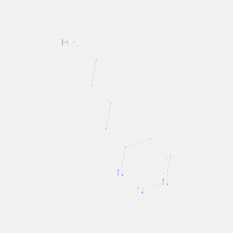 CCCCCc1ccnnn1